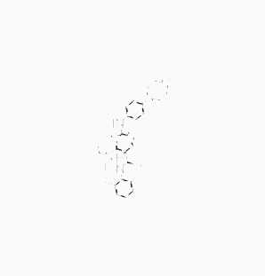 Cc1cccc(C)c1NC(=O)c1cnc(Nc2ccc(N3CCN(C)CC3)cc2)nc1NC(C)C